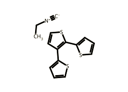 [C-]#[N+]CC.c1csc(-c2ccsc2-c2cccs2)c1